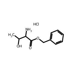 CC(O)C(N)C(=O)OCc1ccccc1.Cl